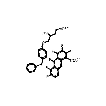 CCCCCCCCCCCCC(O)COc1ccc([I+]c2ccccc2)cc1.O=C([O-])c1c(F)c(F)c(F)c2c(F)c3c(F)c(F)ccc3cc12